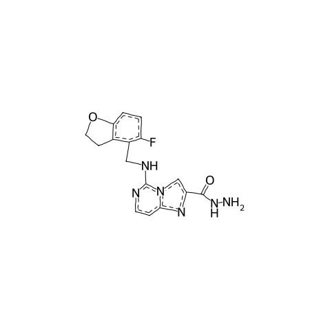 NNC(=O)c1cn2c(NCc3c(F)ccc4c3CCO4)nccc2n1